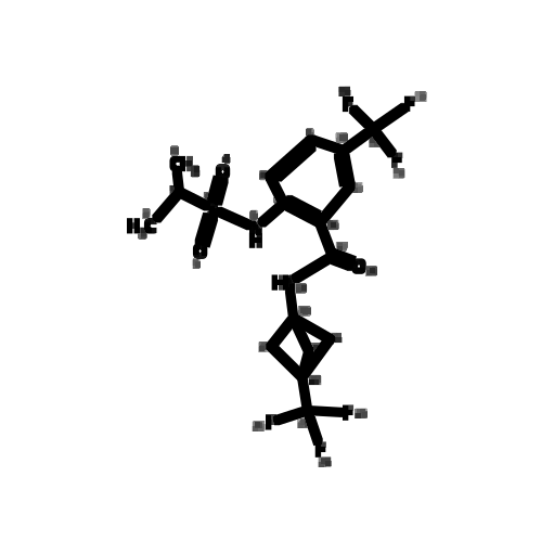 CC(C)S(=O)(=O)Nc1ccc(C(F)(F)F)cc1C(=O)NC12CC(C(F)(F)F)(C1)C2